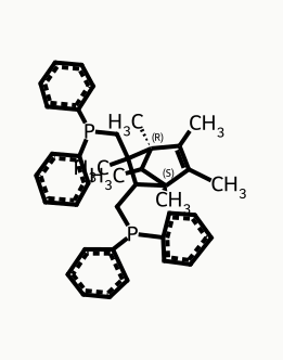 CC1=C(C)[C@@]2(C)C(C)[C@@]1(C)C(CP(c1ccccc1)c1ccccc1)C2(C)CP(c1ccccc1)c1ccccc1